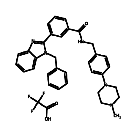 CN1CCN(c2ccc(CNC(=O)c3cccc(-c4nc5ccccc5n4Cc4ccccc4)c3)cc2)CC1.O=C(O)C(F)(F)F